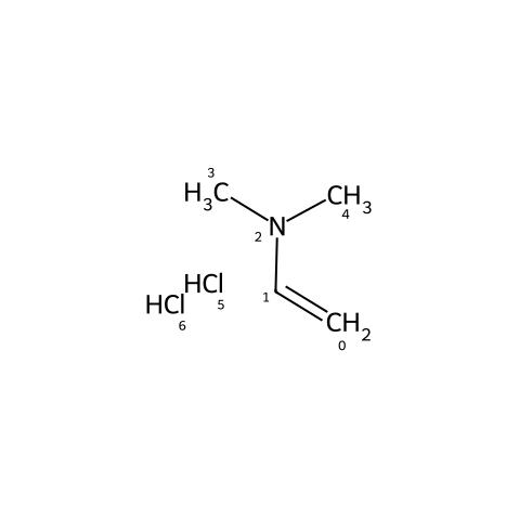 C=CN(C)C.Cl.Cl